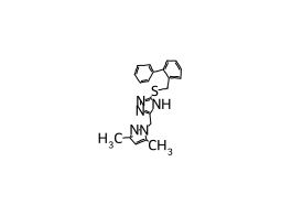 Cc1cc(C)n(Cc2nnc(SCc3ccccc3-c3ccccc3)[nH]2)n1